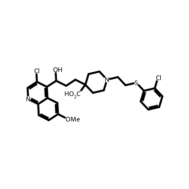 COc1ccc2ncc(Cl)c(C(O)CCC3(C(=O)O)CCN(CCSc4ccccc4Cl)CC3)c2c1